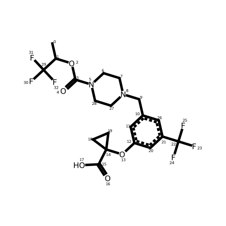 CC(OC(=O)N1CCN(Cc2cc(OC3(C(=O)O)CC3)cc(C(F)(F)F)c2)CC1)C(F)(F)F